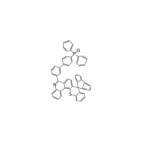 O=P(c1ccccc1)(c1ccccc1)c1ccc(-c2cccc(-c3nc4ccccc4c4c5c(ccc34)C3(c4ccccc4S5)c4ccccc4-c4ccccc43)c2)cc1